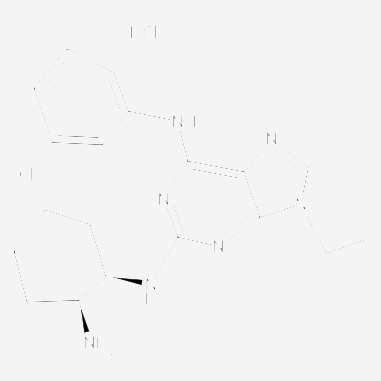 CCn1cnc2c(Nc3cccc(Cl)c3)nc(N[C@@H]3CCCC[C@@H]3N)nc21.Cl